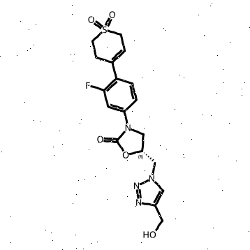 O=C1O[C@@H](Cn2cc(CO)nn2)CN1c1ccc(C2=CCS(=O)(=O)CC2)c(F)c1